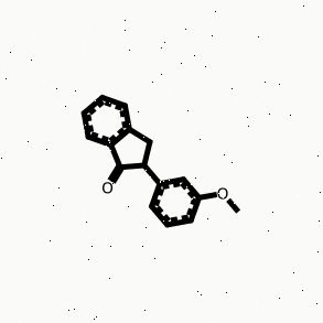 COc1cccc(C2Cc3ccccc3C2=O)c1